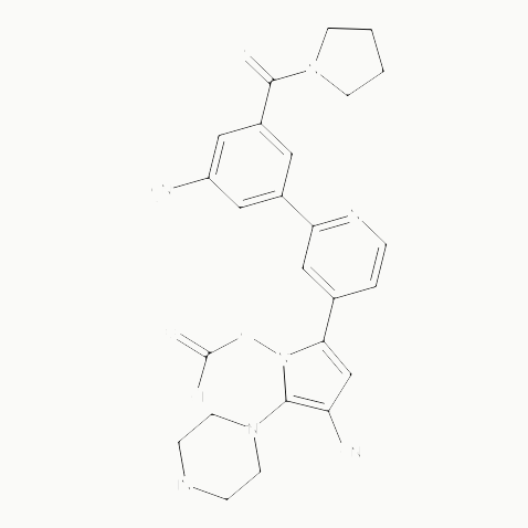 N#Cc1cc(-c2ccnc(-c3cc(C(=O)N4CCCC4)cc([N+](=O)[O-])c3)c2)n(OC(=O)C(F)(F)F)c1N1CCNCC1